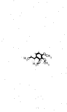 C[CH]Cc1ccc(OC)c(OC)c1OC